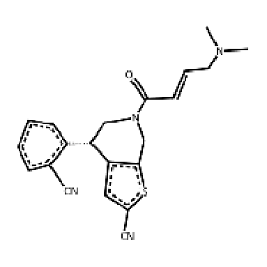 CN(C)C/C=C/C(=O)N1Cc2sc(C#N)cc2[C@H](c2ccccc2C#N)C1